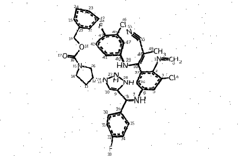 C=Nc1c(Cl)cc(NC(C2=CN([C@@H]3CCN(C(=O)OCc4ccccc4)C3)NN2)c2ccc(F)cc2)cc1/C(Nc1ccc(F)c(Cl)c1)=C(\C)C#N